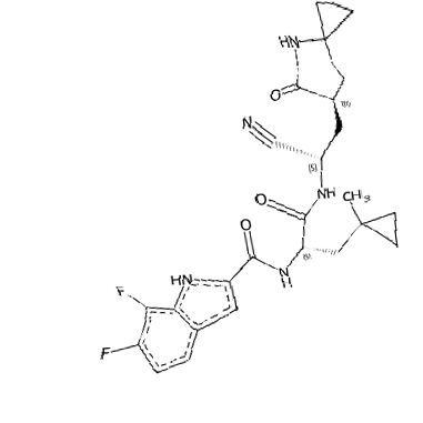 CC1(C[C@H](NC(=O)c2cc3ccc(F)c(F)c3[nH]2)C(=O)N[C@H](C#N)C[C@@H]2CC3(CC3)NC2=O)CC1